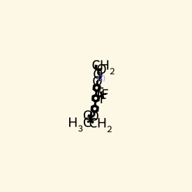 C=CC(=O)O/C=C\Oc1ccc(-c2ccc(-c3ccc(OC(=O)C(=C)C)cc3)cc2C(F)(F)F)cc1